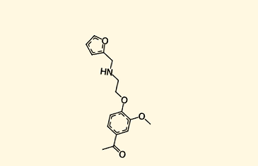 COc1cc(C(C)=O)ccc1OCCNCc1ccco1